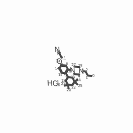 CCCN1CCN(c2cc(OCC#N)ccc2C2CC(C)(C)CC(C)(C)C2)CC1.Cl